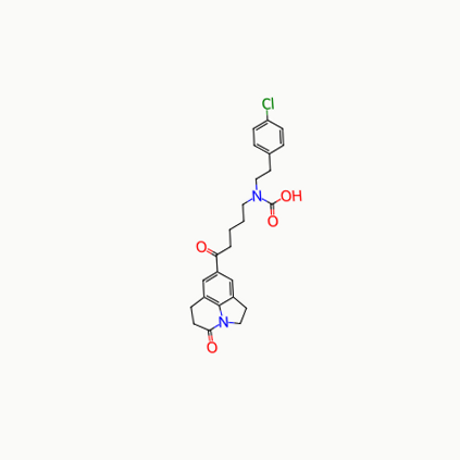 O=C(CCCCN(CCc1ccc(Cl)cc1)C(=O)O)c1cc2c3c(c1)CCN3C(=O)CC2